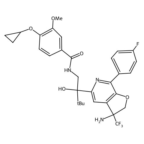 COc1cc(C(=O)NCC(O)(c2cc3c(c(-c4ccc(F)cc4)n2)OCC3(N)C(F)(F)F)C(C)(C)C)ccc1OC1CC1